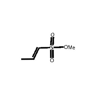 CC=CS(=O)(=O)OC